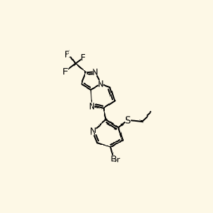 CCSc1cc(Br)cnc1-c1ccn2nc(C(F)(F)F)cc2n1